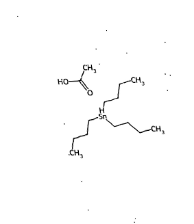 CC(=O)O.CCC[CH2][SnH]([CH2]CCC)[CH2]CCC